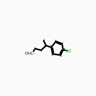 CC(CCC=O)c1ccc(Cl)cc1